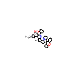 Cc1cc(C)c(-c2cc(-c3ccccc3O)nc3c2ccc2ccc(C4(c5ccccn5)c5ccccc5Oc5ccccc54)cc23)c(C)c1